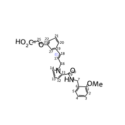 COc1ccccc1CNC(=O)c1cccn1C/C=C/c1cccc(OCC(=O)O)c1